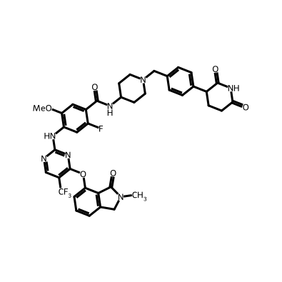 COc1cc(C(=O)NC2CCN(Cc3ccc(C4CCC(=O)NC4=O)cc3)CC2)c(F)cc1Nc1ncc(C(F)(F)F)c(Oc2cccc3c2C(=O)N(C)C3)n1